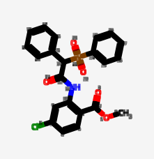 COC(=O)c1ccc(Cl)cc1NC(=O)C(c1ccccc1)S(=O)(=O)c1ccccc1